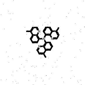 Cc1ccnc2[c]([Al]([c]3cccc4c(C)ccnc34)[c]3cccc4c(C)ccnc34)cccc12